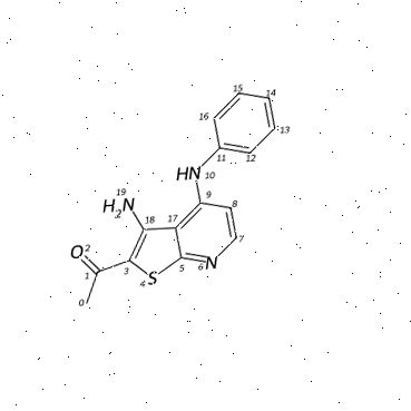 CC(=O)c1sc2nccc(Nc3ccccc3)c2c1N